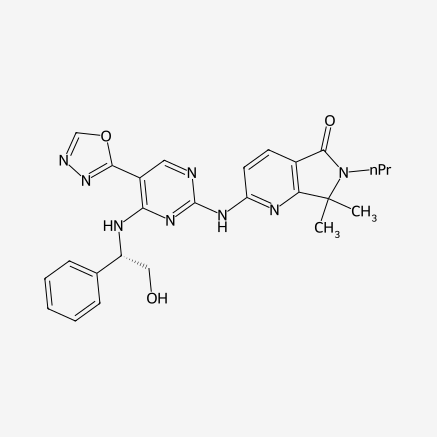 CCCN1C(=O)c2ccc(Nc3ncc(-c4nnco4)c(N[C@H](CO)c4ccccc4)n3)nc2C1(C)C